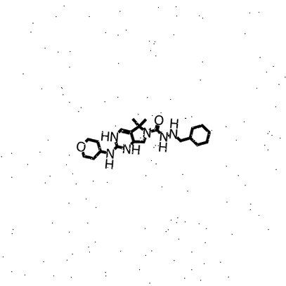 CC1(C)C2=CNC(NC3CCOCC3)NC2CN1C(=O)NNCC1CCCCC1